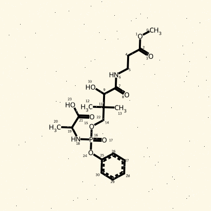 COC(=O)CCNC(=O)C(O)C(C)(C)COP(=O)(NC(C)C(=O)O)Oc1ccccc1